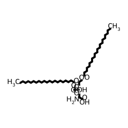 CCCCCCCCCCCCCCCCCCCCCC(=O)OCC(COP(=O)(O)OCC(N)C(=O)O)OC(=O)CCCCCCCCCCCCCCCCCCCCC